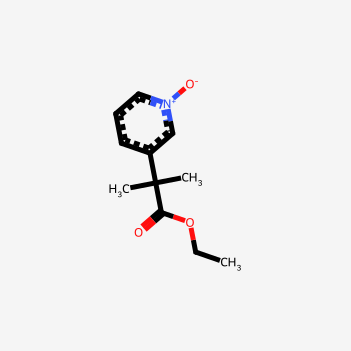 CCOC(=O)C(C)(C)c1ccc[n+]([O-])c1